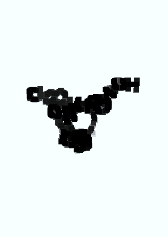 C[C@@H]1[C@@H](C)CCC[C@H]([C@H]2OC[C@@H](N3CC(O)C3)CO2)[C@@H]2CC[C@H]2CN2C[C@@]3(CCCc4cc(Cl)ccc43)COc3ccc(cc32)C(=O)NS1(=O)=O